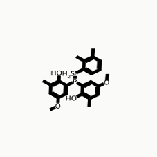 COc1cc(C)c(O)c(P([SiH2]c2cccc(C)c2C)c2cc(OC)cc(C)c2O)c1